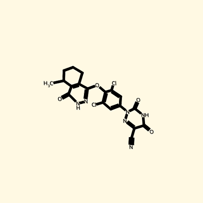 CC1CCCc2c(Oc3c(Cl)cc(-n4nc(C#N)c(=O)[nH]c4=O)cc3Cl)n[nH]c(=O)c21